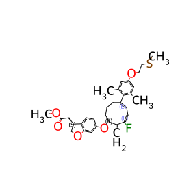 C=C1/C(F)=C\C=C(\c2c(C)cc(OCCSC)cc2C)CCC[C@H]1Oc1ccc2c(c1)OC[C@H]2CC(=O)OC